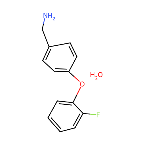 NCc1ccc(Oc2ccccc2F)cc1.O